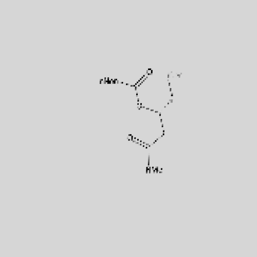 CCCCCCCCCCC[C@H](CC(=O)NC)OC(=O)CCCCCCCCC